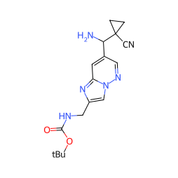 CC(C)(C)OC(=O)NCc1cn2ncc(C(N)C3(C#N)CC3)cc2n1